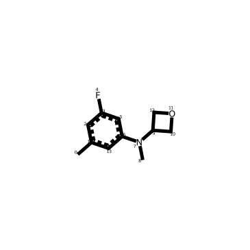 Cc1cc(F)cc(N(C)C2COC2)c1